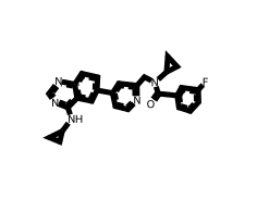 O=C(c1cccc(F)c1)N(Cc1cc(-c2ccc3ncnc(NC4CC4)c3c2)ccn1)C1CC1